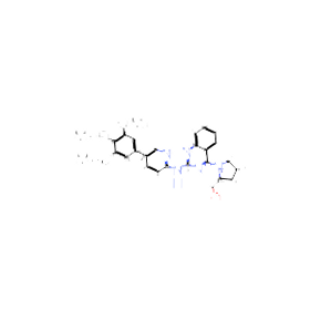 COc1cc(-c2ccc(Nc3nc(N4CCC[C@H]4CO)c4ccccc4n3)nc2)cc(OC)c1OC